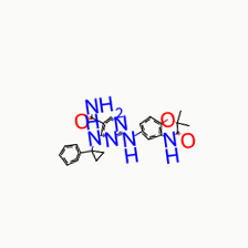 CC1(C)Oc2ccc(Nc3ncc(C(N)=O)c(NC4(c5ccccc5)CC4)n3)cc2NC1=O